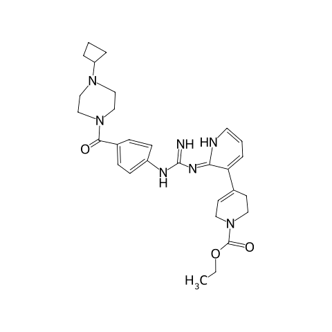 CCOC(=O)N1CC=C(c2ccc[nH]/c2=N\C(=N)Nc2ccc(C(=O)N3CCN(C4CCC4)CC3)cc2)CC1